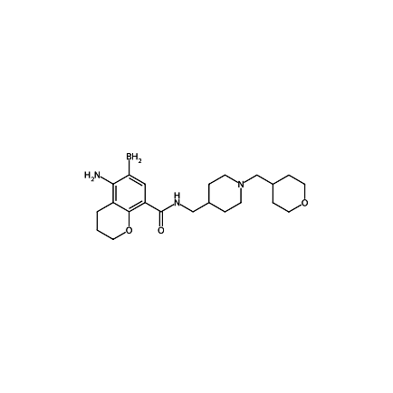 Bc1cc(C(=O)NCC2CCN(CC3CCOCC3)CC2)c2c(c1N)CCCO2